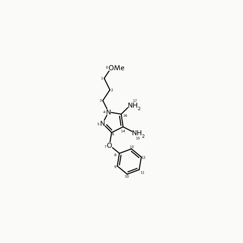 COCCCn1nc(Oc2ccccc2)c(N)c1N